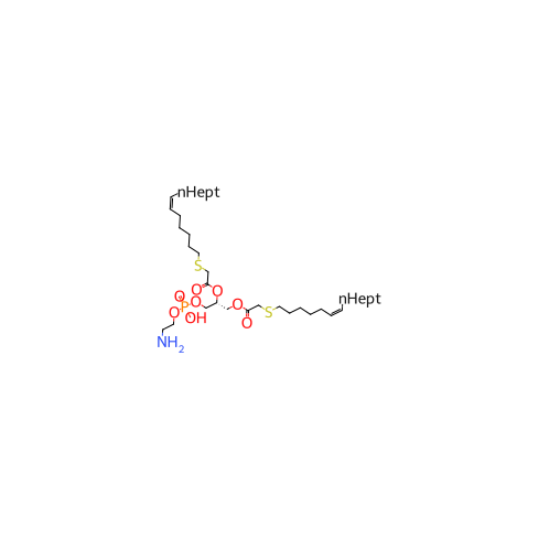 CCCCCCC/C=C\CCCCCSCC(=O)OC[C@H](COP(=O)(O)OCCN)OC(=O)CSCCCCC/C=C\CCCCCCC